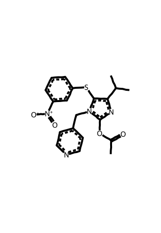 CC(=O)Oc1nc(C(C)C)c(Sc2cccc([N+](=O)[O-])c2)n1Cc1ccncc1